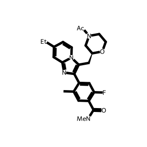 CCc1ccn2c(C[C@H]3CN(C(C)=O)CCO3)c(-c3cc(F)c(C(=O)NC)cc3C)nc2c1